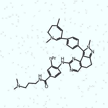 CCCc1cc(C(=O)NCCCN(C)C)ccc1Nc1ncc2c(n1)-c1c(nn(C)c1-c1ccc(C3=CN(C)CCC(C)=C3)cc1)CC2